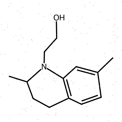 Cc1ccc2c(c1)N(CCO)C(C)CC2